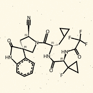 N#C[C@@H]1C[C@@]2(CN1C(=O)[C@H](CC1CC1)NC(=O)[C@@H](NC(=O)C(F)(F)F)C1(F)CC1)C(=O)Nc1ccccc12